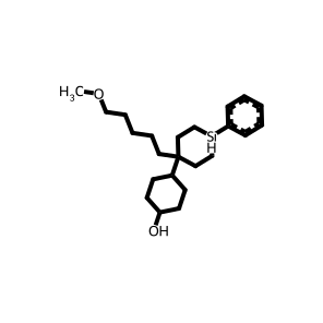 COCCCCCC1(C2CCC(O)CC2)CC[SiH](c2ccccc2)CC1